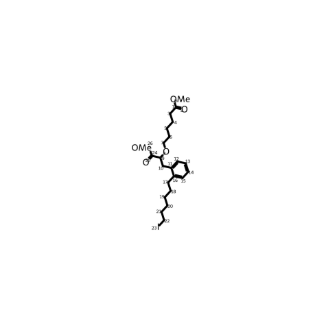 COC(=O)CCCCCOC(Cc1ccccc1CCCCCCI)C(=O)OC